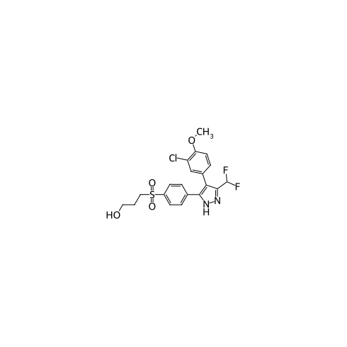 COc1ccc(-c2c(C(F)F)n[nH]c2-c2ccc(S(=O)(=O)CCCO)cc2)cc1Cl